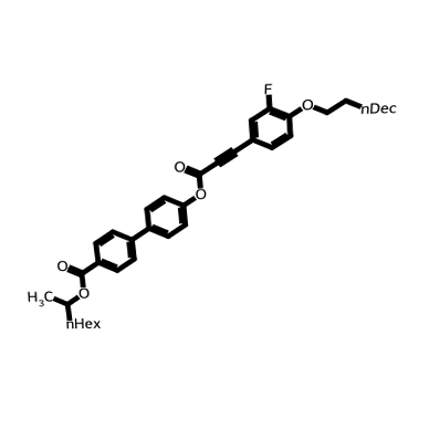 CCCCCCCCCCCCOc1ccc(C#CC(=O)Oc2ccc(-c3ccc(C(=O)OC(C)CCCCCC)cc3)cc2)cc1F